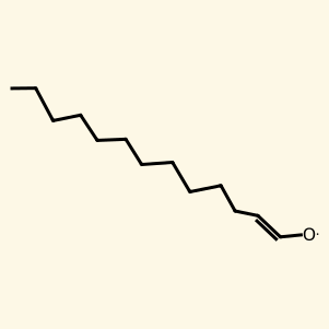 CCCCCCCCCCCC=C[O]